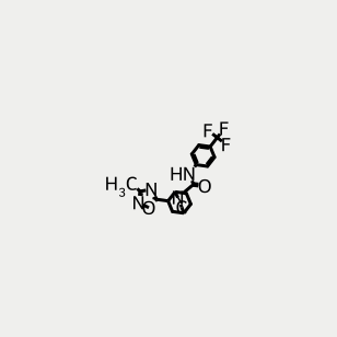 Cc1noc(C2CC3CCC2N(C(=O)Nc2ccc(C(F)(F)F)cc2)C3)n1